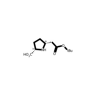 CC(C)(C)OC(=O)C[C@H]1CC[C@@H](C(=O)O)N1